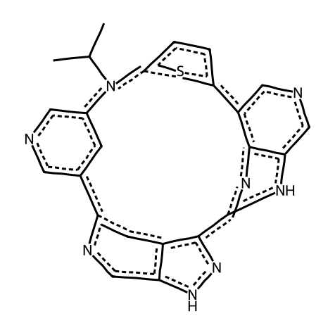 CC(C)n1c2cncc(c2)c2cc3c(cn2)[nH]nc3c2nc3c(cncc3c3ccc1s3)[nH]2